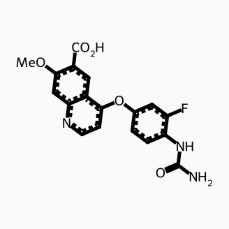 COc1cc2nccc(Oc3ccc(NC(N)=O)c(F)c3)c2cc1C(=O)O